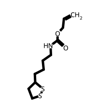 C=CCOC(=O)NCCCCC1CCSS1